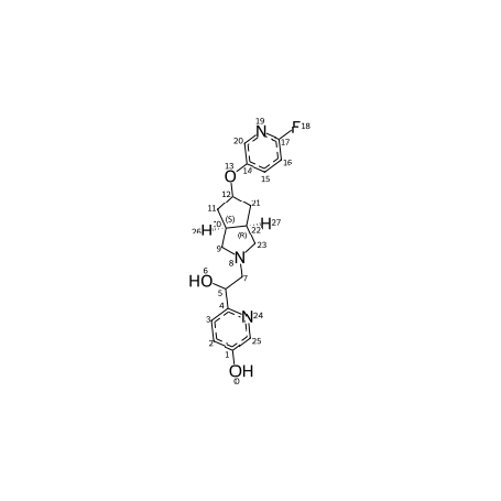 Oc1ccc(C(O)CN2C[C@H]3CC(Oc4ccc(F)nc4)C[C@H]3C2)nc1